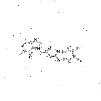 Cn1ccc2ncn(CC(=O)Nc3nc4cc(F)c(F)cc4s3)c2c1=O